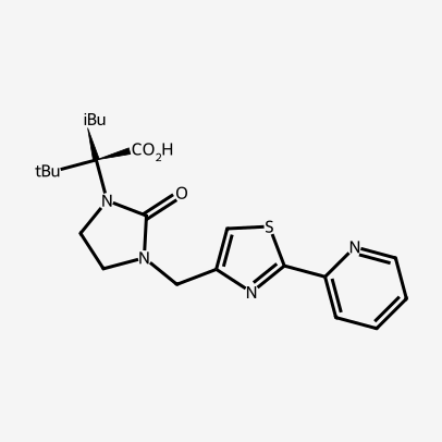 CC[C@H](C)[C@](C(=O)O)(N1CCN(Cc2csc(-c3ccccn3)n2)C1=O)C(C)(C)C